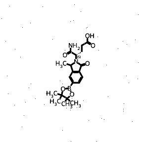 CC1c2cc(B3OC(C)(C)C(C)(C)O3)ccc2C(=O)N1[C@@H](CCC(=O)O)C(N)=O